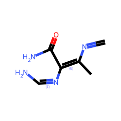 C=N/C(C)=C(/N=C\N)C(N)=O